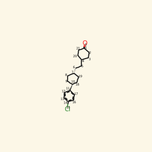 O=C1CCC(CC[C@H]2CC[C@H](c3ccc(Cl)cc3)CC2)CC1